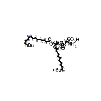 CCCC/C=C\C/C=C\CCCCCCCC(=O)OC[C@H](COP(=O)(O)OC[C@H](N)C(=O)O)OC(=O)CCCCCCC/C=C\CCCC